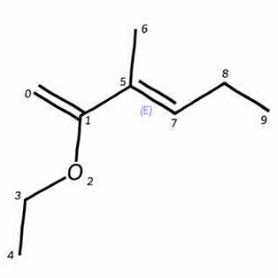 C=C(OCC)/C(C)=C/CC